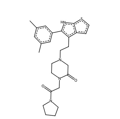 Cc1cc(C)cc(-c2[nH]c3sccc3c2CCN2CCN(CC(=O)N3CCCC3)C(=O)C2)c1